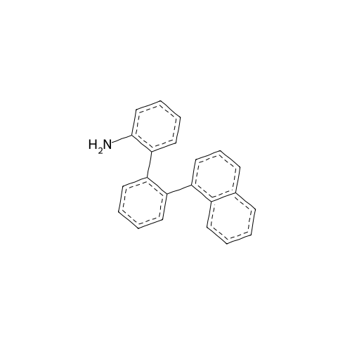 Nc1ccccc1-c1ccccc1-c1cccc2ccccc12